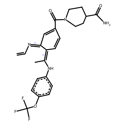 C=C/N=C1/C=C(C(=O)N2CCC(C(N)=O)CC2)C=C/C1=C(/C)Nc1ccc(OC(F)(F)F)cc1